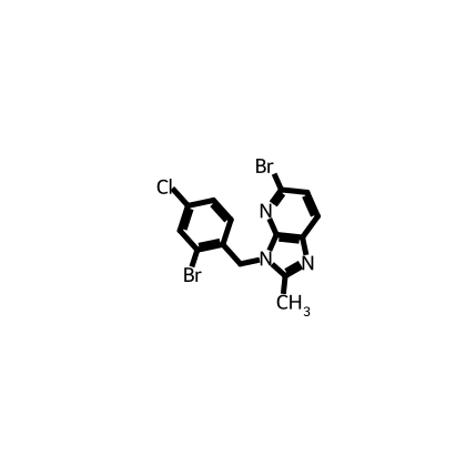 Cc1nc2ccc(Br)nc2n1Cc1ccc(Cl)cc1Br